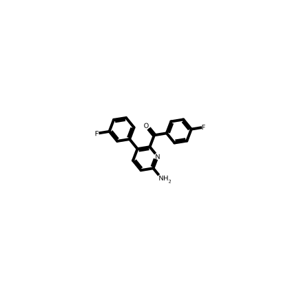 Nc1ccc(-c2cccc(F)c2)c(C(=O)c2ccc(F)cc2)n1